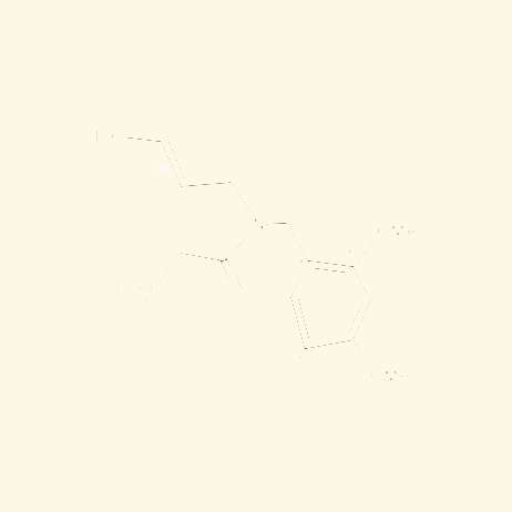 COc1ccc(CN(C/C=C/C(F)(F)F)C(=O)CC(=O)O)c(OC)c1